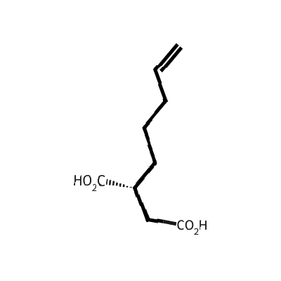 C=CCCC[C@H](CC(=O)O)C(=O)O